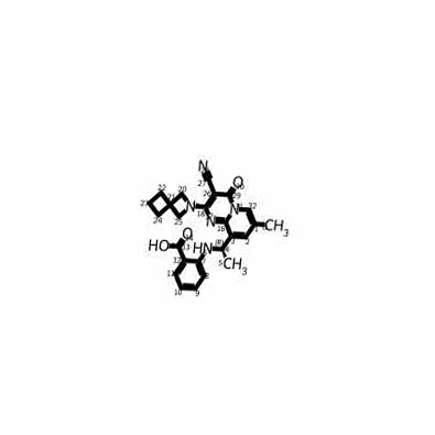 Cc1cc([C@@H](C)Nc2ccccc2C(=O)O)c2nc(N3CC4(CCC4)C3)c(C#N)c(=O)n2c1